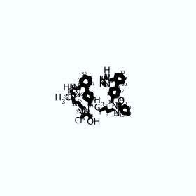 CCCCC1=NC2(CCCC2)C(=O)N1Cc1ccc(-c2ccccc2-c2nnn[nH]2)cc1.CCCCc1nc(Cl)c(CO)n1Cc1ccc(-c2ccccc2-c2nnn[nH]2)cc1